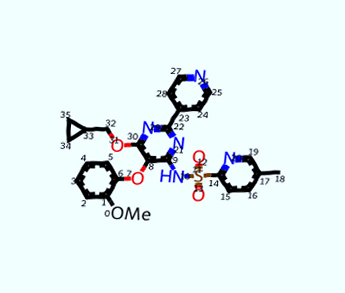 COc1ccccc1Oc1c(NS(=O)(=O)c2ccc(C)cn2)nc(-c2ccncc2)nc1OCC1CC1